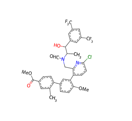 COC(=O)c1ccc(-c2ccc(OC)c(-c3ccc(Cl)nc3CN(C=O)C(C)C(O)c3cc(C(F)(F)F)cc(C(F)(F)F)c3)c2)c(C)c1